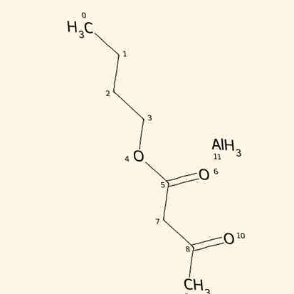 CCCCOC(=O)CC(C)=O.[AlH3]